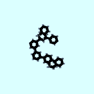 c1ccc(-c2nc(-c3cccc(-c4cccc(-c5ccc6c(c5)ncc5ccccc56)c4)c3)nc3ccccc23)cc1